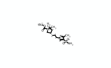 Cc1nn(CCC[C@@H]2CN(C(=O)OC(C)(C)C)C(C)(C)C2)cc1S(N)(=O)=O